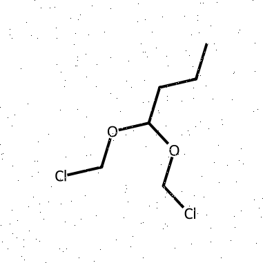 CCCC(OCCl)OCCl